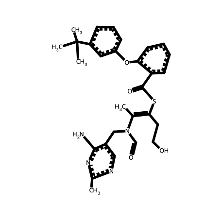 CC(=C(CCO)SC(=O)c1ccccc1Oc1cccc(C(C)(C)C)c1)N(C=O)Cc1cnc(C)nc1N